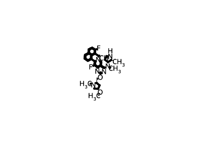 C#Cc1c(F)ccc2cccc(-c3ncc4c(N(C)[C@@H]5CCN[C@@H]5C)nc(OC[C@@H]5C[C@@H](OC)CN5C)nc4c3F)c12